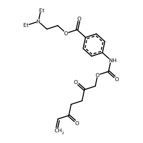 C=CC(=O)CCC(=O)COC(=O)Nc1ccc(C(=O)OCCN(CC)CC)cc1